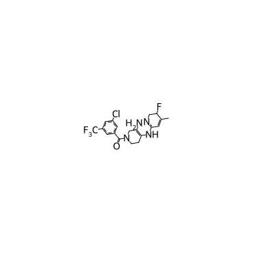 CC1=CC(NC2=C(N)CN(C(=O)c3cc(Cl)cc(C(F)(F)F)c3)CC2)=NCC1F